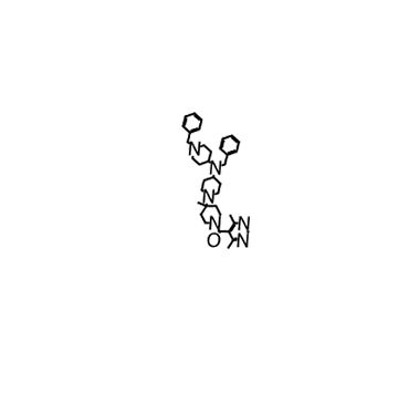 Cc1ncnc(C)c1C(=O)N1CCC(C)(N2CCC(N(Cc3ccccc3)C3CCN(Cc4ccccc4)CC3)CC2)CC1